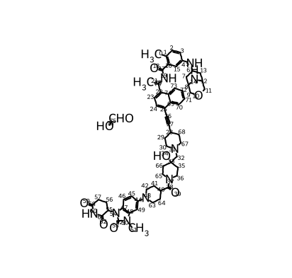 Cc1ccc(NC2CC3COCC(C2)N3)cc1C(=O)N[C@H](C)c1ccc(C#CC2CCN(CC3(O)CCN(C(=O)C4CCN(c5ccc6c(c5)n(C)c(=O)n6C5CCC(=O)NC5=O)CC4)CC3)CC2)c2ccccc12.O=CO